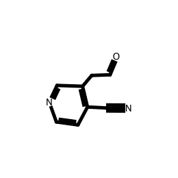 N#Cc1ccncc1CC=O